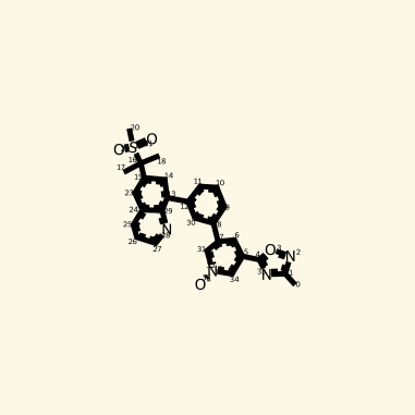 Cc1noc(-c2cc(-c3cccc(-c4cc(C(C)(C)S(C)(=O)=O)cc5cccnc45)c3)c[n+]([O-])c2)n1